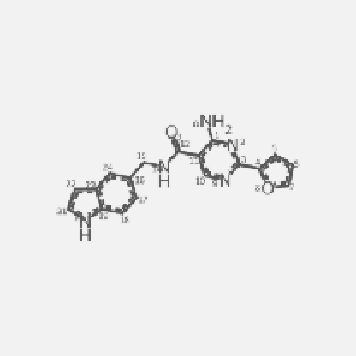 Nc1nc(-c2ccco2)ncc1C(=O)NCc1ccc2[nH]ccc2c1